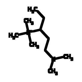 CCC(CCN(C)C)[N+](C)(C)C